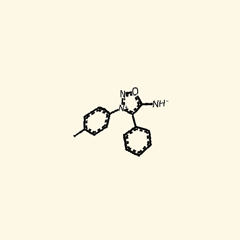 Cc1ccc(-[n+]2noc([NH-])c2-c2ccccc2)cc1